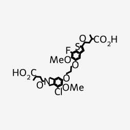 COc1c(OCCCOc2cc3cc(C(=O)CC(C)C(=O)O)sc3c(F)c2OC)cc2c(c1Cl)CN(C(=O)CC(C)C(=O)O)C2